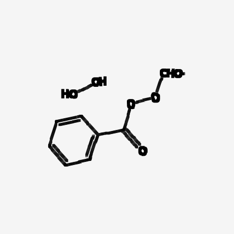 O=[C]OOC(=O)c1ccccc1.OO